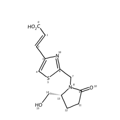 O=C(O)/C=C/c1csc(CN2C(=O)CC[C@@H]2CO)n1